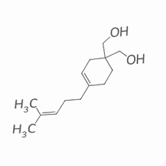 CC(C)=CCCC1=CCC(CO)(CO)CC1